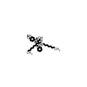 CCCCCCCCOC(=O)C(CCCCCCCC)(C(C(=O)O)S(=O)(=O)c1ccc(OC)cc1)S(=O)(=O)c1ccccc1